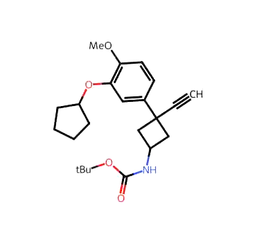 C#CC1(c2ccc(OC)c(OC3CCCC3)c2)CC(NC(=O)OC(C)(C)C)C1